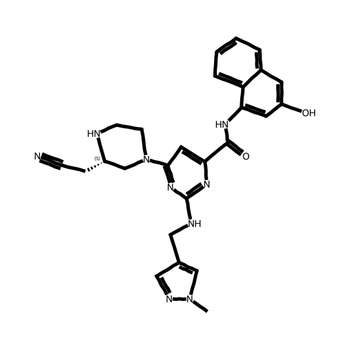 Cn1cc(CNc2nc(C(=O)Nc3cc(O)cc4ccccc34)cc(N3CCN[C@@H](CC#N)C3)n2)cn1